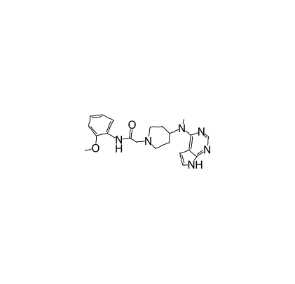 COc1ccccc1NC(=O)CN1CCC(N(C)c2ncnc3[nH]ccc23)CC1